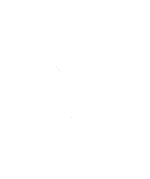 CC(=NO)c1cccc(I)c1